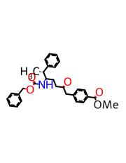 COC(=O)c1ccc(CC(=O)CCC(NC(=O)OCc2ccccc2)[C@H](C)c2ccccc2)cc1